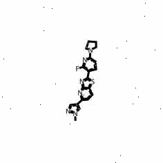 Cn1cc(-c2ccc3sc(-c4ccc(N5CCCC5)nc4F)nc3n2)cn1